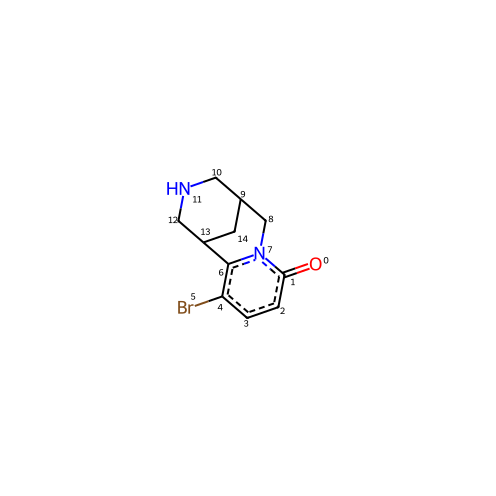 O=c1ccc(Br)c2n1CC1CNCC2C1